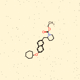 CCOC(=O)N1CCCCC1Cc1ccc2cc(OC3CCCCCC3)ccc2c1